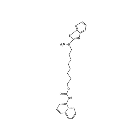 NN(CCCCCCCCOC(=O)Nc1cccc2ccccc12)c1nc2ccccc2s1